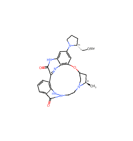 COC[C@H]1CCCN1c1cc2c3nc(c(=O)[nH]c3c1)-c1cccc3c(=O)n([nH]c13)CCN1CC(C[C@H]1C)O2